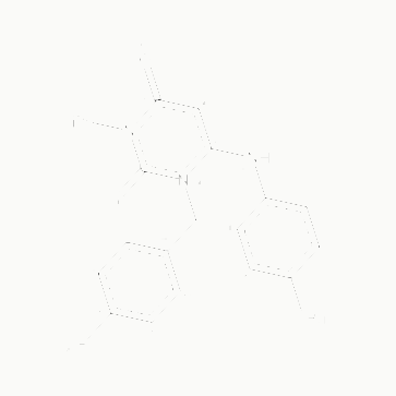 CC(C)n1c(=O)cc(Nc2ccc(C(C)(C)C)cc2)n(Cc2ccc(F)cc2)c1=O